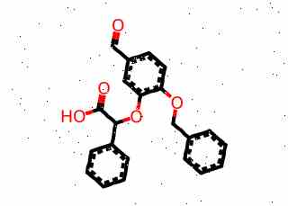 O=Cc1ccc(OCc2ccccc2)c(OC(C(=O)O)c2ccccc2)c1